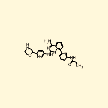 C=CC(=O)Nc1cccc(-c2cccc3c(N)nc(Nc4ccc(C5CNCCO5)nc4)nc23)c1